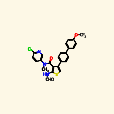 CN(C(=O)c1c(-c2ccc(-c3ccc(OC(F)(F)F)cc3)cc2)csc1NC=O)c1ccc(Cl)nc1